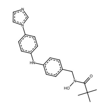 CC(C)(C)C(=O)N(O)Cc1ccc(Nc2ccc(-n3ccnc3)cc2)cc1